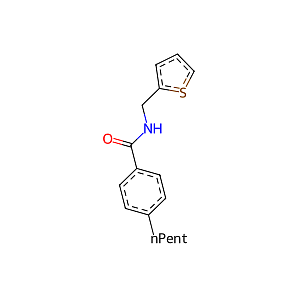 CCCCCc1ccc(C(=O)NCc2cccs2)cc1